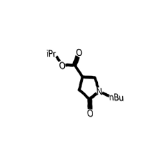 CCCCN1CC(C(=O)OC(C)C)CC1=O